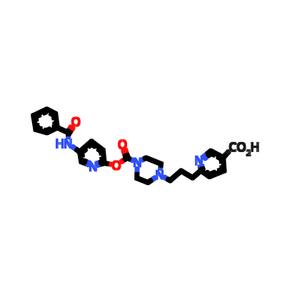 O=C(O)c1ccc(CCCN2CCN(C(=O)Oc3ccc(NC(=O)c4ccccc4)cn3)CC2)nc1